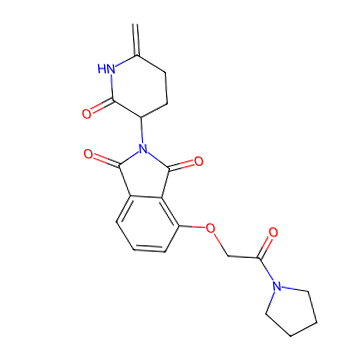 C=C1CCC(N2C(=O)c3cccc(OCC(=O)N4CCCC4)c3C2=O)C(=O)N1